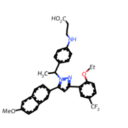 CCOc1ccc(C(F)(F)F)cc1-c1cc(-c2ccc3cc(OC)ccc3c2)n(C(C)c2ccc(NCCC(=O)O)cc2)n1